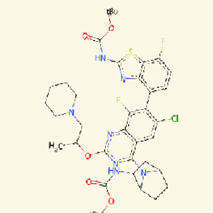 CC(CN1CCCCC1)Oc1nc(N2C3CCC2C(NC(=O)OC(C)(C)C)C3)c2cc(Cl)c(-c3ccc(F)c4sc(NC(=O)OC(C)(C)C)nc34)c(F)c2n1